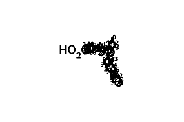 Cc1ccc(OCc2ccc3c(c2C)CCN(C2CCOCC2)CC3)c(-c2csc(N3CC[C@](C)(C(=O)O)[C@@H](C)C3)n2)c1